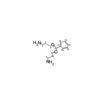 NCCCOC(OCCCN)c1ccccc1